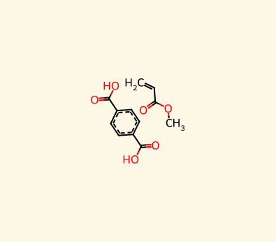 C=CC(=O)OC.O=C(O)c1ccc(C(=O)O)cc1